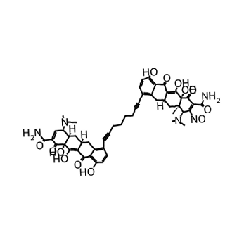 CN(C)[C@@H]1C=C(C(N)=O)C(=O)[C@@]2(O)C(O)=C3C(=O)c4c(O)ccc(C#CCCCCC#Cc5ccc(O)c6c5C[C@H]5C[C@@]7(C)[C@H](N(C)C)C(N=O)=C(C(N)=O)C(=O)[C@@]7(O)C(O)=C5C6=O)c4C[C@H]3C[C@@H]12